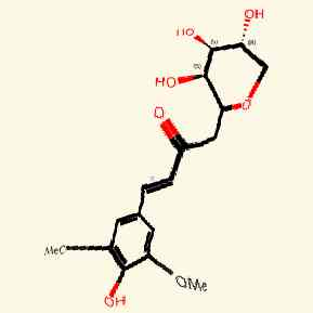 COc1cc(/C=C/C(=O)CC2OC[C@@H](O)[C@H](O)[C@@H]2O)cc(OC)c1O